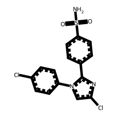 NS(=O)(=O)c1ccc(-c2nc(Cl)cn2-c2ccc(Cl)cc2)cc1